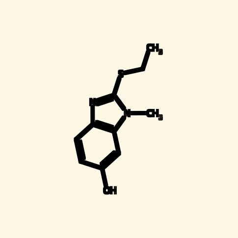 CCSc1nc2ccc(O)cc2n1C